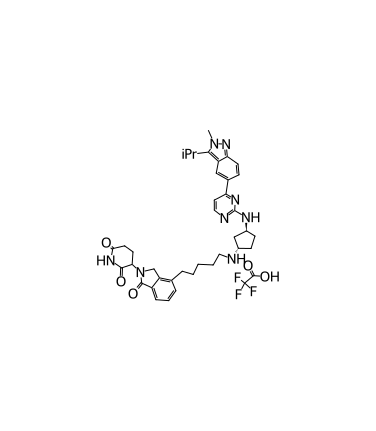 CC(C)c1c2cc(-c3ccnc(N[C@H]4CC[C@H](NCCCCCc5cccc6c5CN(C5CCC(=O)NC5=O)C6=O)C4)n3)ccc2nn1C.O=C(O)C(F)(F)F